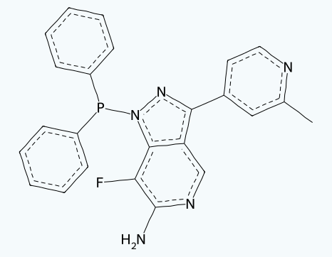 Cc1cc(-c2nn(P(c3ccccc3)c3ccccc3)c3c(F)c(N)ncc23)ccn1